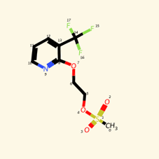 CS(=O)(=O)OCCOc1ncccc1C(F)(F)F